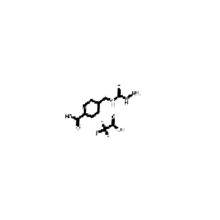 NNC(=O)[AsH]CC1CCC(C(=O)O)CC1.O=C(O)C(F)(F)F